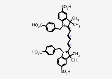 CC1(C)C(/C=C/C=C/C=C2\N(Cc3ccc(C(=O)O)cc3)c3ccc(S(=O)(=O)O)cc3C2(C)C)=[N+](Cc2ccc(C(=O)O)cc2)c2ccc(S(=O)(=O)O)cc21